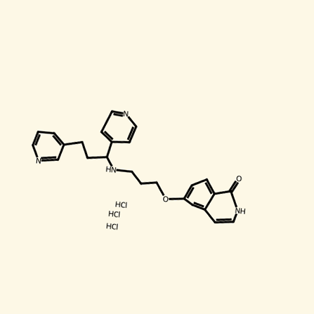 Cl.Cl.Cl.O=c1[nH]ccc2cc(OCCCNC(CCc3cccnc3)c3ccncc3)ccc12